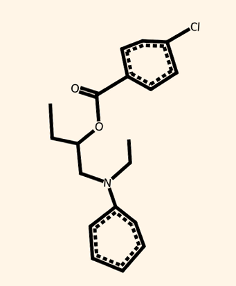 CCC(CN(CC)c1ccccc1)OC(=O)c1ccc(Cl)cc1